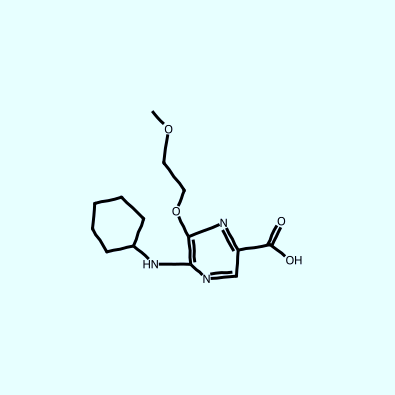 COCCOc1nc(C(=O)O)cnc1NC1CCCCC1